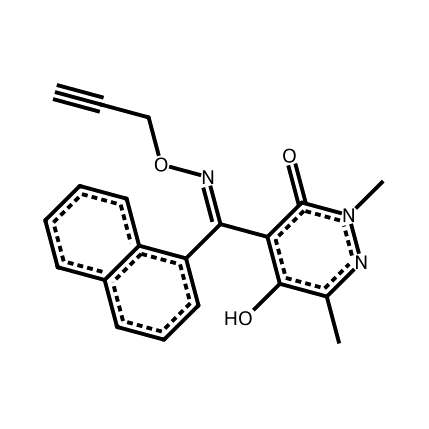 C#CCO/N=C(/c1c(O)c(C)nn(C)c1=O)c1cccc2ccccc12